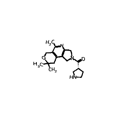 Cc1nc2c(c3c1COC(C)(C)C3)CN(C(=O)[C@@H]1CCNC1)C2